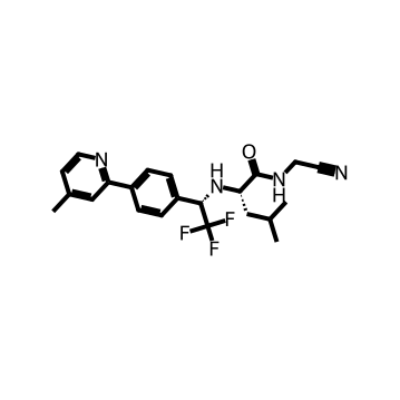 Cc1ccnc(-c2ccc([C@H](N[C@@H](CC(C)C)C(=O)NCC#N)C(F)(F)F)cc2)c1